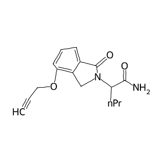 C#CCOc1cccc2c1CN(C(CCC)C(N)=O)C2=O